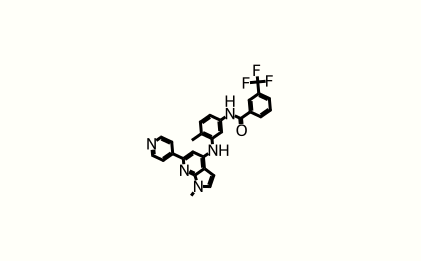 Cc1ccc(NC(=O)c2cccc(C(F)(F)F)c2)cc1Nc1cc(-c2ccncc2)nc2c1ccn2C